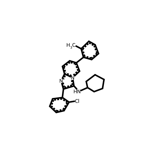 Cc1ccccc1-c1ccc2nc(-c3ccccc3Cl)c(NC3CCCCC3)n2c1